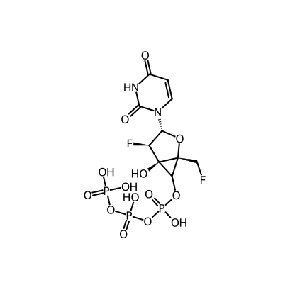 O=c1ccn([C@@H]2O[C@]3(CF)C(OP(=O)(O)OP(=O)(O)OP(=O)(O)O)[C@]3(O)[C@H]2F)c(=O)[nH]1